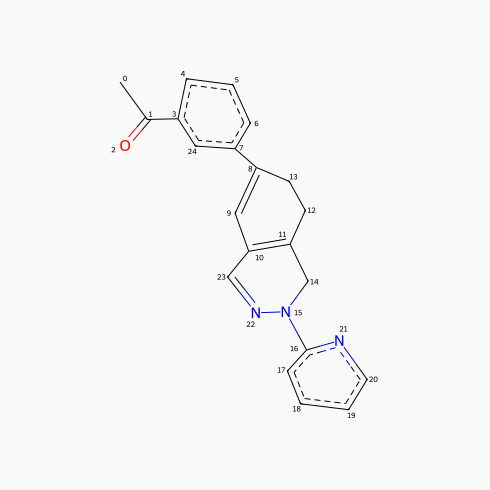 CC(=O)c1cccc(C2=CC3=C(CC2)CN(c2ccccn2)N=C3)c1